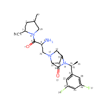 CC1CC(C#N)N(C(=O)C(N)CN2CC3CC2C(=O)N3[C@@H](C)c2cc(F)cc(F)c2)C1